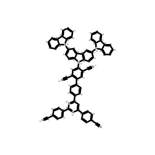 N#Cc1ccc(-c2cc(-c3ccc(-c4cc(C#N)c(-n5c6ccc(-n7c8ccccc8c8ccccc87)cc6c6cc(-n7c8ccccc8c8ccccc87)ccc65)cc4C#N)cc3)nc(-c3ccc(C#N)cc3)n2)cc1